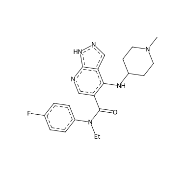 CCN(C(=O)c1cnc2[nH]ncc2c1NC1CCN(C)CC1)c1ccc(F)cc1